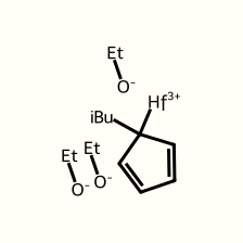 CCC(C)[C]1([Hf+3])C=CC=C1.CC[O-].CC[O-].CC[O-]